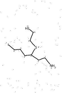 NCCC(CCCI)SCCS